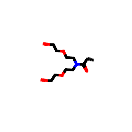 CCCCCCC(=O)N(CCOCCO)CCOCCO